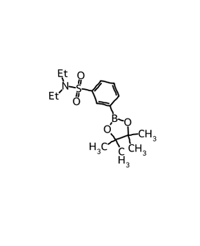 CCN(CC)S(=O)(=O)c1cccc(B2OC(C)(C)C(C)(C)O2)c1